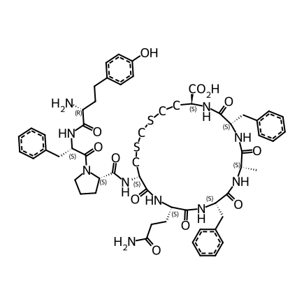 C[C@@H]1NC(=O)[C@H](Cc2ccccc2)NC(=O)[C@H](CCC(N)=O)NC(=O)[C@H](NC(=O)[C@@H]2CCCN2C(=O)[C@H](Cc2ccccc2)NC(=O)[C@H](N)CCc2ccc(O)cc2)CSCSCC[C@@H](C(=O)O)NC(=O)[C@H](Cc2ccccc2)NC1=O